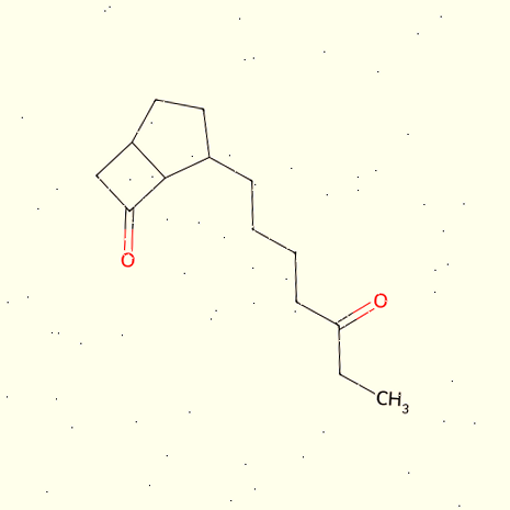 CCC(=O)CCCCC1CCC2CC(=O)C12